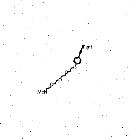 CCCC(C)C#Cc1ccc(OCCOCCOCCOCCNC)cc1